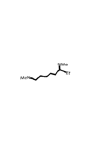 CCC(CCC[CH]CNC)NC